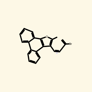 C=C(Br)/C=C\c1c(C)oc2c3ccccc3c3ccccc3c12